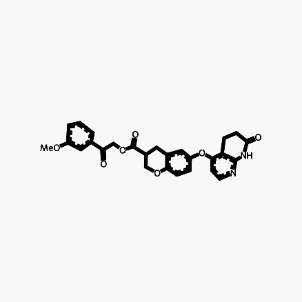 COc1cccc(C(=O)COC(=O)C2COc3ccc(Oc4ccnc5c4CCC(=O)N5)cc3C2)c1